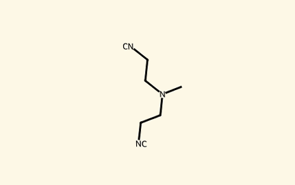 [C-]#[N+]CCN(C)CC[N+]#[C-]